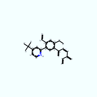 C=CC(=C)/C=C\C(=C)c1cc(-c2cc(C(C)(C)C)ccn2)c(C=C)cc1CC